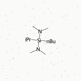 CCCC[Si](C(C)C)(N(C)C)N(C)C